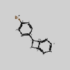 Brc1ccc(C2Cc3ccccc32)cc1